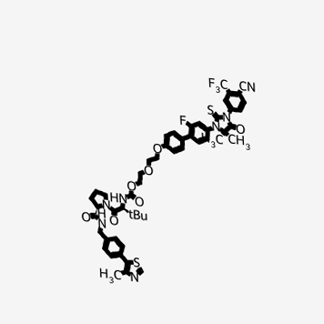 Cc1ncsc1-c1ccc(CNC(=O)[C@@H]2CCCN2C(=O)[C@@H](NC(=O)OCCOCCOc2ccc(-c3ccc(N4C(=S)N(c5ccc(C#N)c(C(F)(F)F)c5)C(=O)C4(C)C)cc3F)cc2)C(C)(C)C)cc1